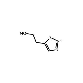 OCCC1=CN=[N+]S1